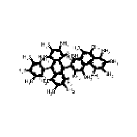 Bc1c(B)c(B)c(-c2c3c(B)c(B)c(B)c(B)c3c(-c3c(B)c(B)c4c(c3B)c(B)c(B)c3c(B)c(B)c(B)c(B)c34)c3c(B)c(B)c(B)c(B)c23)c(B)c1B